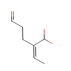 CC=C(CCC=O)C(O)O